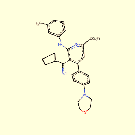 CCOC(=O)c1cc(-c2ccc(N3CCOCC3)cc2)c(C(=N)C2CCC2)c(Nc2cccc(C(F)(F)F)c2)n1